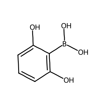 OB(O)c1c(O)cccc1O